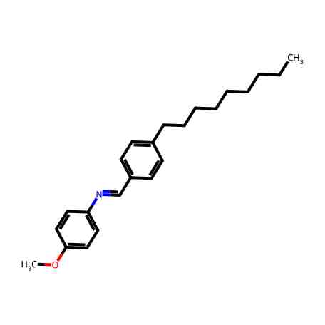 CCCCCCCCCc1ccc(C=Nc2ccc(OC)cc2)cc1